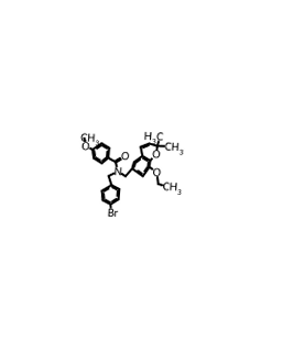 CCOc1cc(CN(Cc2ccc(Br)cc2)C(=O)c2ccc(OC)cc2)cc2c1OC(C)(C)C=C2